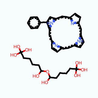 C1=Cc2cc3cc(-c4ccccc4)c(cc4nc(cc5ccc(cc1n2)[nH]5)C=C4)[nH]3.OC(CCCCC(O)(O)O)OC(O)CCCCC(O)(O)O